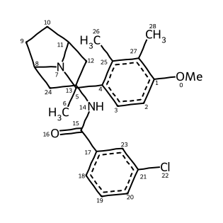 COc1ccc(C(C)N2C3CCC2CC(NC(=O)c2cccc(Cl)c2)C3)c(C)c1C